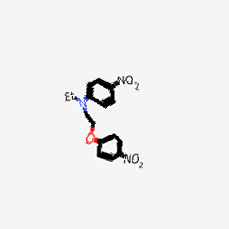 CCN(CCOc1ccc([N+](=O)[O-])cc1)c1ccc([N+](=O)[O-])cc1